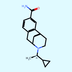 C[C@H](C1CC1)N1CCC23CCCCC2C1Cc1ccc(C(N)=O)cc13